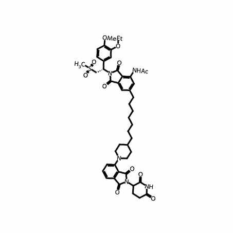 CCOc1cc([C@@H](CS(C)(=O)=O)N2C(=O)c3cc(CCCCCCCC4CCN(c5cccc6c5C(=O)N(C5CCC(=O)NC5=O)C6=O)CC4)cc(NC(C)=O)c3C2=O)ccc1OC